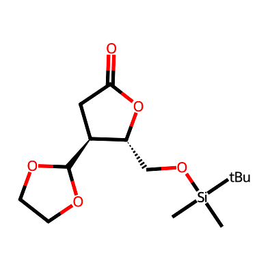 CC(C)(C)[Si](C)(C)OC[C@H]1OC(=O)C[C@@H]1C1OCCO1